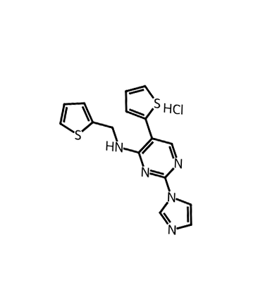 Cl.c1csc(CNc2nc(-n3ccnc3)ncc2-c2cccs2)c1